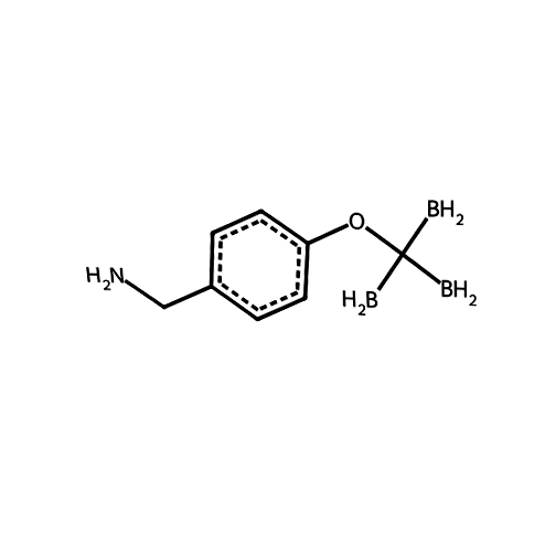 BC(B)(B)Oc1ccc(CN)cc1